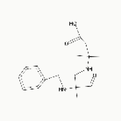 CC(C)(CC(=O)O)NCC(C)(C=O)NCc1ccccc1